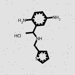 CC(NCc1cccs1)c1cc(N)ccc1N.Cl